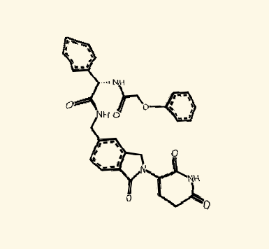 O=C1CCC(N2Cc3cc(CNC(=O)[C@@H](NC(=O)COc4ccccc4)c4ccccc4)ccc3C2=O)C(=O)N1